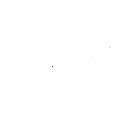 CC(C)=CCC[C@]1(C)C=Cc2c(O)c3c(c(CC(O)C(C)(C)O)c2O1)O[C@]12C(=C[C@@H]4CC1C(C)(C)OC2(C/C=C(/C)OC=O)C4=O)C3=O